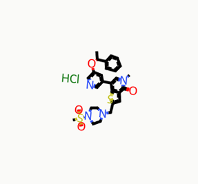 CC(Oc1cncc(-c2cn(C)c(=O)c3cc(CN4CCN(S(C)(=O)=O)CC4)sc23)c1)c1ccccc1.Cl